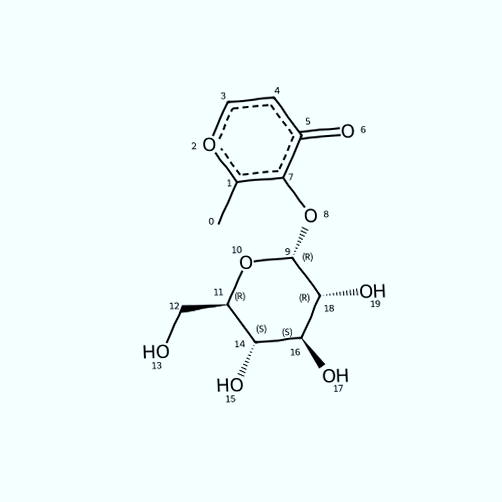 Cc1occc(=O)c1O[C@H]1O[C@H](CO)[C@@H](O)[C@H](O)[C@H]1O